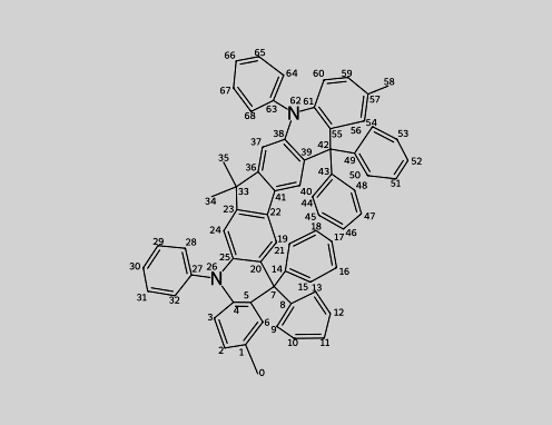 Cc1ccc2c(c1)C(c1ccccc1)(c1ccccc1)c1cc3c(cc1N2c1ccccc1)C(C)(C)c1cc2c(cc1-3)C(c1ccccc1)(c1ccccc1)c1cc(C)ccc1N2c1ccccc1